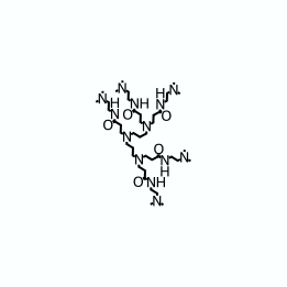 CN(C)CCNC(=O)CCN(CCCN(CCC(=O)NCCN(C)C)CCC(=O)NCCN(C)C)CCCN(CCC(=O)NCCN(C)C)CCC(=O)NCCN(C)C